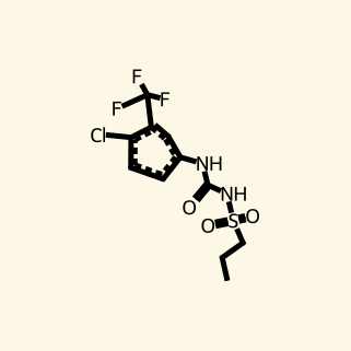 CCCS(=O)(=O)NC(=O)Nc1ccc(Cl)c(C(F)(F)F)c1